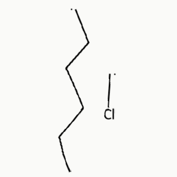 [CH2]CCCCC.[CH2]Cl